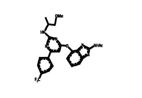 COCC(C)Nc1nc(Oc2cccc3sc(NC(C)=O)nc23)cc(-c2ccc(C(F)(F)F)cc2)n1